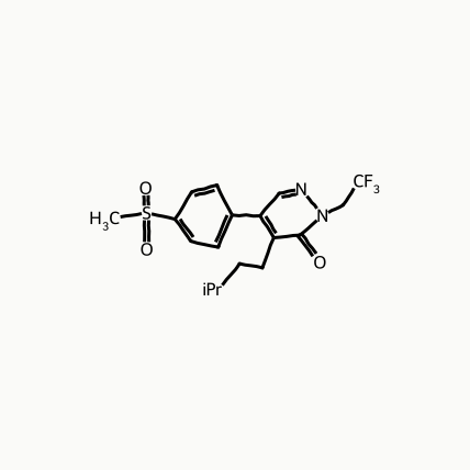 CC(C)CCc1c(-c2ccc(S(C)(=O)=O)cc2)cnn(CC(F)(F)F)c1=O